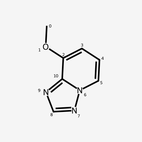 COc1cccn2ncnc12